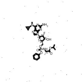 CC(C)OC(=O)[C@H](C)N[P@](=O)(OC[C@H]1O[C@@H](n2cnc3c(N(C)C4CC4)nc(N)nc32)[C@H](F)[C@@H]1O)Oc1ccccc1